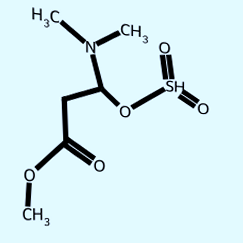 COC(=O)CC(O[SH](=O)=O)N(C)C